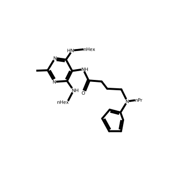 CCCCCCNc1nc(C)nc(NCCCCCC)c1NC(=O)CCCN(CCC)c1ccccc1